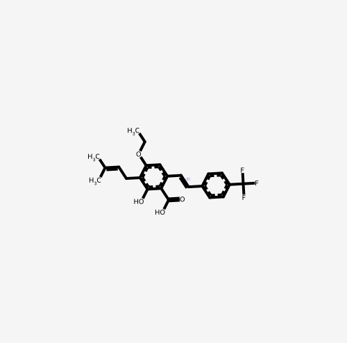 CCOc1cc(/C=C/c2ccc(C(F)(F)F)cc2)c(C(=O)O)c(O)c1CC=C(C)C